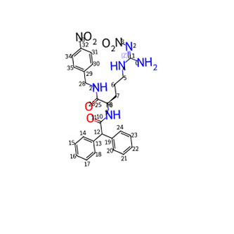 N/C(=N/[N+](=O)[O-])NCCC[C@@H](NC(=O)C(c1ccccc1)c1ccccc1)C(=O)NCc1ccc([N+](=O)[O-])cc1